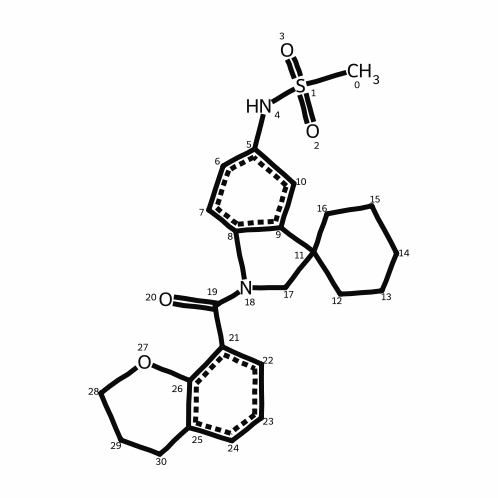 CS(=O)(=O)Nc1ccc2c(c1)C1(CCCCC1)CN2C(=O)c1cccc2c1OCCC2